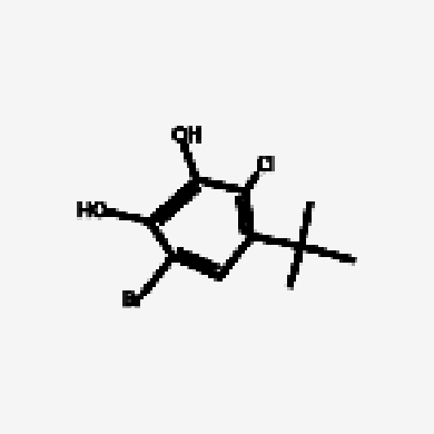 CC(C)(C)c1cc(Br)c(O)c(O)c1Cl